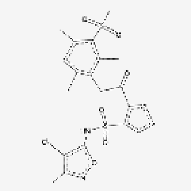 Cc1cc(C)c(S(C)(=O)=O)c(C)c1CC(=O)c1sccc1S(=O)(=O)Nc1onc(C)c1Cl